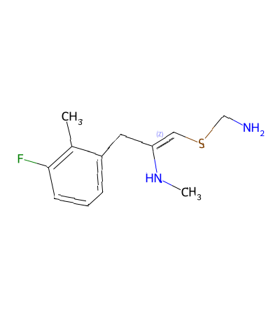 CN/C(=C\SCN)Cc1cccc(F)c1C